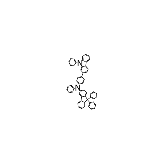 c1ccc(N(c2ccc(-c3ccc4c5ccccc5n(-c5ccccc5)c4c3)cc2)c2ccc3c(c2)-c2ccccc2C3(c2ccccc2)c2ccccc2)cc1